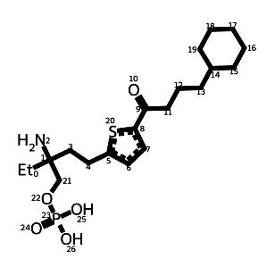 CCC(N)(CCc1ccc(C(=O)CCCC2CCCCC2)s1)COP(=O)(O)O